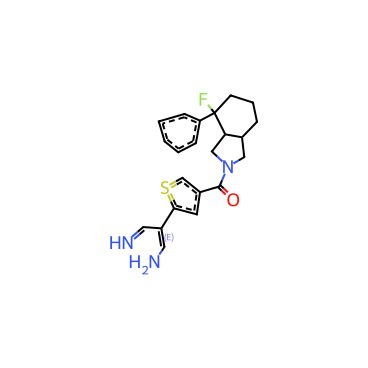 N=C/C(=C\N)c1cc(C(=O)N2CC3CCCC(F)(c4ccccc4)C3C2)cs1